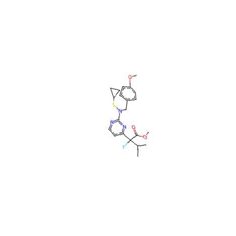 COC(=O)C(F)(c1ccnc(N(Cc2ccc(OC)cc2)SC2CC2)n1)C(C)C